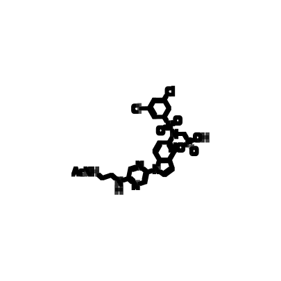 CC(=O)NCCNc1cnc(-n2ccc3cc(N(CP(=O)(O)O)S(=O)(=O)C4C=C(Cl)C=C(Cl)C4)ccc32)cn1